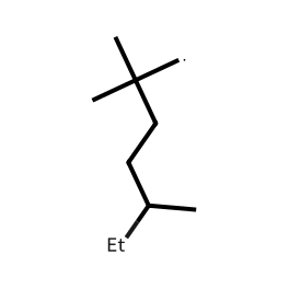 [CH2]C(C)(C)CCC(C)CC